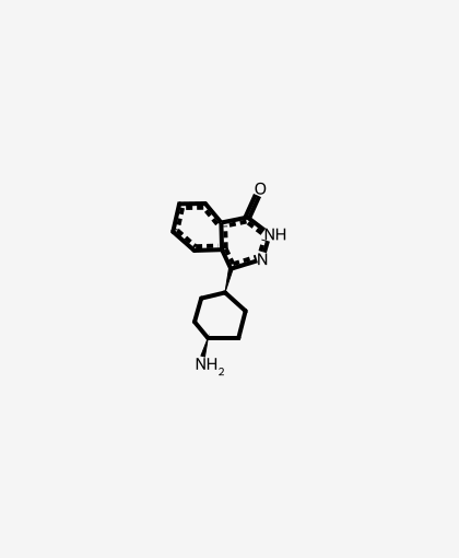 N[C@H]1CC[C@@H](c2n[nH]c(=O)c3ccccc32)CC1